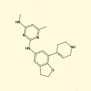 CNc1cc(C)nc(Nc2cc3c(c(C4=CCNCC4)c2)OCC3)n1